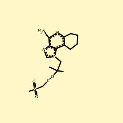 CC(C)(Cn1cnc2c(N)nc3c(c21)CCCC3)OCCS(C)(=O)=O